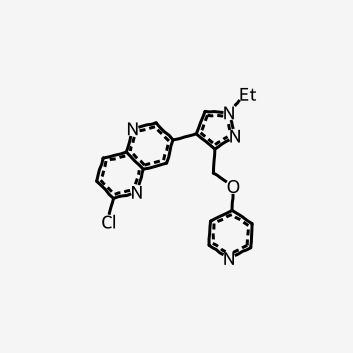 CCn1cc(-c2cnc3ccc(Cl)nc3c2)c(COc2ccncc2)n1